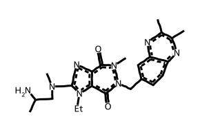 CCn1c(N(C)CC(C)N)nc2c(=O)n(C)n(Cc3ccc4nc(C)c(C)nc4c3)c(=O)c21